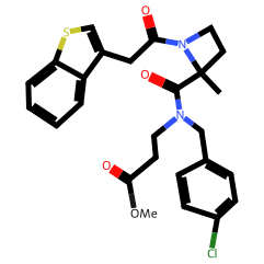 COC(=O)CCN(Cc1ccc(Cl)cc1)C(=O)C1(C)CCN1C(=O)Cc1csc2ccccc12